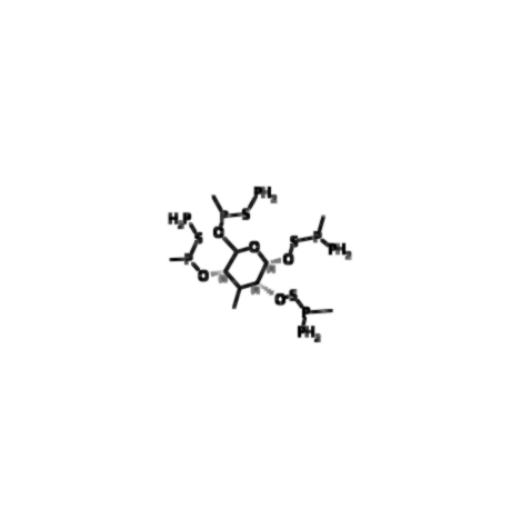 CC1[C@H](OP(C)SP)C(OP(C)SP)O[C@H](OSP(C)P)[C@@H]1OSP(C)P